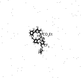 CCOC(=O)C[C@@H]1NC(=O)[C@@H](n2cc(CCN3CC(F)(F)C3)c(C(F)(F)F)cc2=O)c2cc(ccc2F)COc2cccc(C)c2-c2cc(C)c(F)c1c2